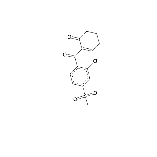 CS(=O)(=O)c1ccc(C(=O)C2=[C]CCCC2=O)c(Cl)c1